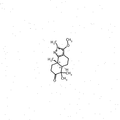 COc1c2c(nn1C)[C@@]1(C)CCC(=O)C(C)(C)[C@@H]1CC2